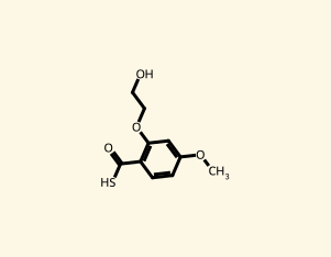 COc1ccc(C(=O)S)c(OCCO)c1